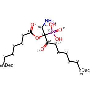 CCCCCCCCCCCCCCCC(=O)OC(CN)(C(=O)CCCCCCCCCCCCCCC)P(=O)(O)O